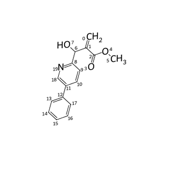 C=C(C(=O)OC)C(O)c1ccc(-c2ccccc2)cn1